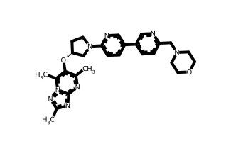 Cc1nc2nc(C)c(O[C@@H]3CCN(c4ccc(-c5ccc(CN6CCOCC6)nc5)cn4)C3)c(C)n2n1